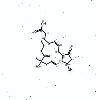 C=C(CCC)C(C)(O)C/C=C/[C@H]1[C@H](O)CC(=O)[C@@H]1C/C=C\CCCC(=O)O